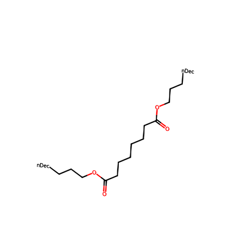 CCCCCCCCCCCCCOC(=O)CCCCCCC(=O)OCCCCCCCCCCCCC